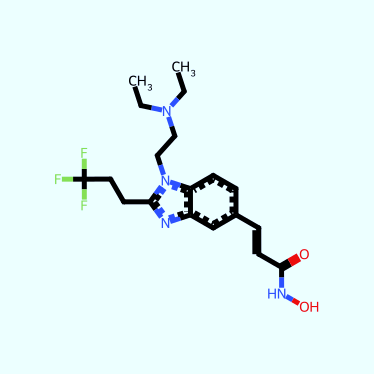 CCN(CC)CCn1c(CCC(F)(F)F)nc2cc(C=CC(=O)NO)ccc21